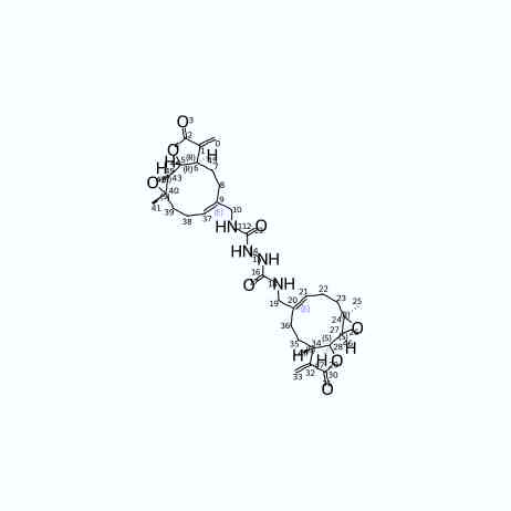 C=C1C(=O)O[C@@H]2[C@@H]1CC/C(CNC(=O)NNC(=O)NC/C1=C/CC[C@@]3(C)O[C@H]3[C@H]3OC(=O)C(=C)[C@@H]3CC1)=C\CC[C@]1(C)O[C@H]21